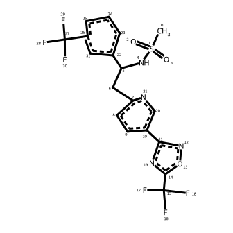 CS(=O)(=O)NC(Cc1ccc(-c2noc(C(F)(F)F)n2)cn1)c1cccc(C(F)(F)F)c1